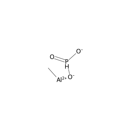 O=[PH]([O-])[O-].[CH3][Al+2]